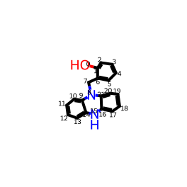 Oc1ccccc1CN1c2ccccc2Nc2ccccc21